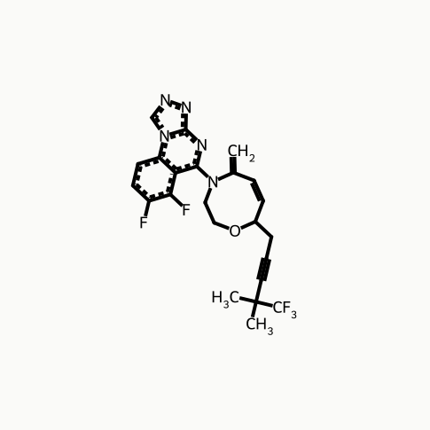 C=C1/C=C\C(CC#CC(C)(C)C(F)(F)F)OCCN1c1nc2nncn2c2ccc(F)c(F)c12